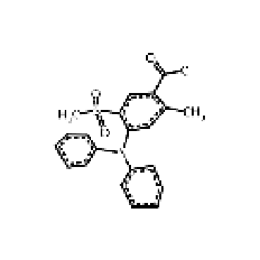 Cc1cc(N(c2ccccc2)c2ccccc2)c(S(C)(=O)=O)cc1C(=O)Cl